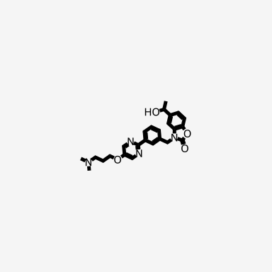 CC(O)c1ccc2oc(=O)n(Cc3cccc(-c4ncc(OCCCN(C)C)cn4)c3)c2c1